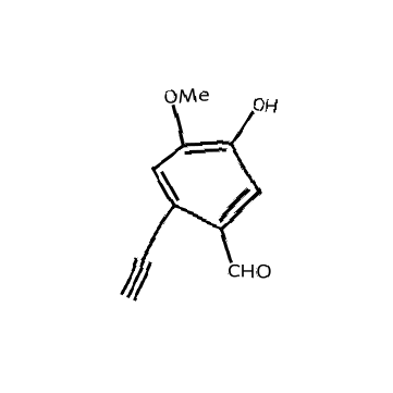 C#Cc1cc(OC)c(O)cc1C=O